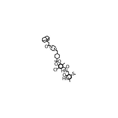 CSc1cc(C)[nH]c(=O)c1CNC(=O)c1cc(Cl)c2c(c1C)OC(C)(C1CCC(CN3CCN(C(=O)CC45CC6CC(CC(C6)C4)C5)CC3)CC1)O2